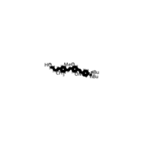 CCCCN(CCCC)c1ccc(/C=C/c2cc(OC)c(/C=C/c3ccc(/C=C(\C)CCCO)cc3)cc2OC)cc1